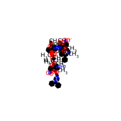 CCOC(=O)C1=C(C)NC(C)=C(C(=O)OCC)C1c1ccccc1/C=C/C(=O)OC(C)(C)C.COC(=O)C1=C(C)NC(C)=C(C(=O)OC(C)(C)CN(C)CCC(c2ccccc2)c2ccccc2)C1c1cccc([N+](=O)[O-])c1.COC(=O)C1=C(C)NC(C)=C(C(=O)OCCN2CCN(C(c3ccccc3)c3ccccc3)CC2)C1c1cccc([N+](=O)[O-])c1